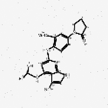 CCC(O)Nc1nc(Nc2ccc(N3CCCC3=O)cc2OC)nc2[nH]cc(C#N)c12